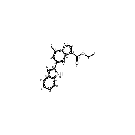 CCOC(=O)c1cnn2c(C)cc(-c3nc4ccccc4[nH]3)nc12